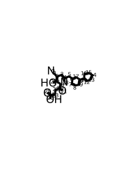 N#Cc1cc(Cc2cccc(-c3ccccc3)c2)nc(C(=O)CCC(=O)O)c1O